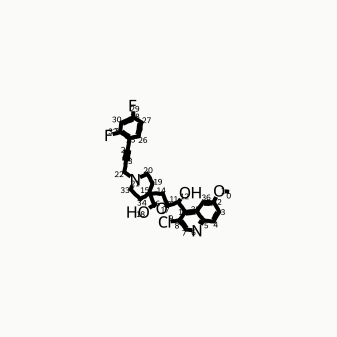 COc1ccc2ncc(Cl)c(C(O)CCC3(C(=O)O)CCN(CC#Cc4ccc(F)cc4F)CC3)c2c1